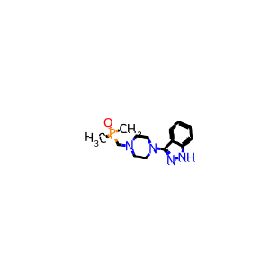 CP(C)(=O)CN1CCN(c2n[nH]c3ccccc23)CC1